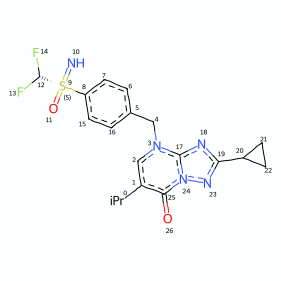 CC(C)c1cn(Cc2ccc([S@](=N)(=O)C(F)F)cc2)c2nc(C3CC3)nn2c1=O